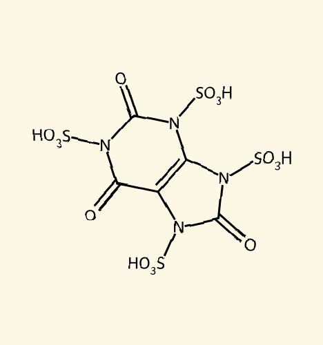 O=c1c2c(n(S(=O)(=O)O)c(=O)n1S(=O)(=O)O)n(S(=O)(=O)O)c(=O)n2S(=O)(=O)O